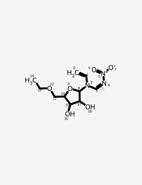 C=CN(/C=N\[N+](=O)[O-])C1OC(COCC)C(O)C1O